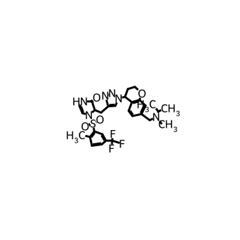 Cc1ccc(C(F)(F)F)cc1S(=O)(=O)N1C=CNC(=O)C1Cc1cn(C2CCOc3cc(CN(C)C(C)C)ccc32)nn1